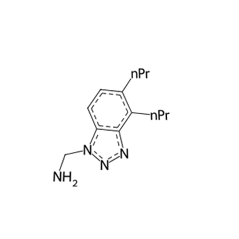 CCCc1ccc2c(nnn2CN)c1CCC